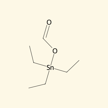 C[CH2][Sn]([CH2]C)([CH2]C)[O]C=O